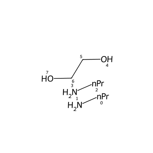 CCCN.CCCN.OCCO